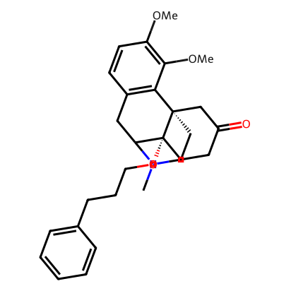 COc1ccc2c(c1OC)[C@]13CCN(C)C(C2)[C@]1(OCCCc1ccccc1)CCC(=O)C3